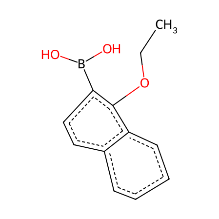 CCOc1c(B(O)O)ccc2ccccc12